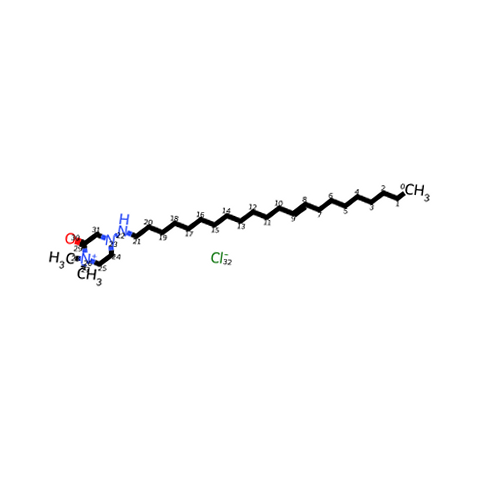 CCCCCCCCC=CCCCCCCCCCCCCNN1CC[N+](C)(C)C(=O)C1.[Cl-]